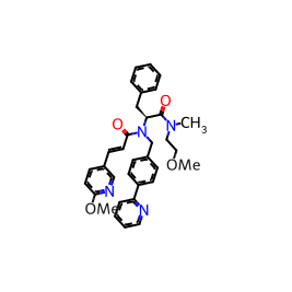 COCCN(C)C(=O)[C@H](Cc1ccccc1)N(Cc1ccc(-c2ccccn2)cc1)C(=O)C=Cc1ccc(OC)nc1